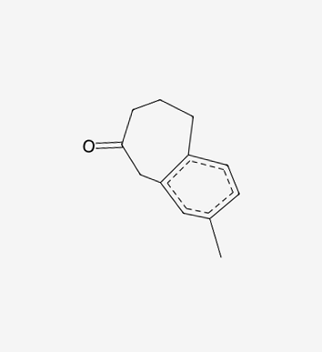 Cc1ccc2c(c1)CC(=O)CCC2